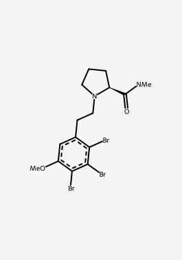 CNC(=O)[C@@H]1CCCN1CCc1cc(OC)c(Br)c(Br)c1Br